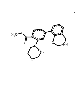 COC(=O)c1ccc(-c2cccc3c2OCNC3)cc1N1CCOCC1